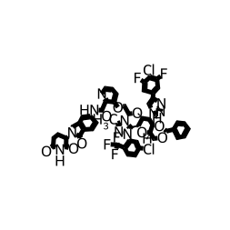 Cc1nc([C@@H]2O[C@@H]3COC(c4ccccc4)O[C@@H]3[C@H](n3cc(-c4cc(F)c(Cl)c(F)c4)nn3)[C@H]2OCCOc2cccnc2C(=O)Nc2ccc3c(c2)CN(C2CCC(=O)NC2=O)C3=O)n(-c2cc(Cl)ccc2C(F)(F)F)n1